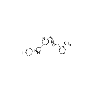 Cc1ccccc1COn1ccc2ncc(-c3cnn(C4CCNCC4)c3)cc21